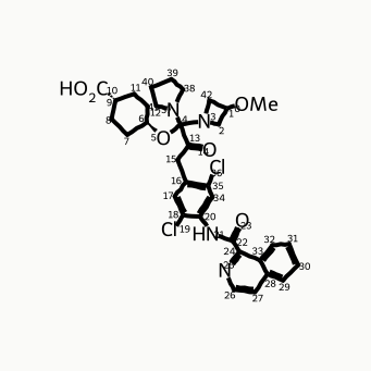 COC1CN(C(O[C@H]2CC[C@H](C(=O)O)CC2)(C(=O)Cc2cc(Cl)c(NC(=O)c3nccc4ccccc34)cc2Cl)N2CCCC2)C1